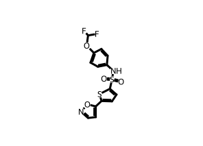 O=S(=O)(Nc1ccc(OC(F)F)cc1)c1ccc(-c2ccno2)s1